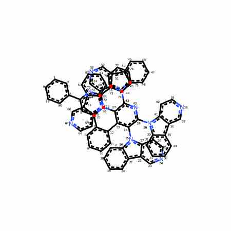 c1ccc(-c2cc(-c3ccccc3-c3c(-n4c5ccccc5c5cnccc54)c(-n4c5ccccc5c5cnccc54)nc(-n4c5ccccc5c5cnccc54)c3-n3c4ccccc4c4cnccc43)nc(-c3ccccc3)n2)cc1